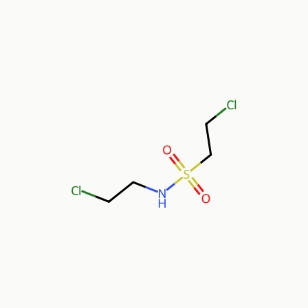 O=S(=O)(CCCl)NCCCl